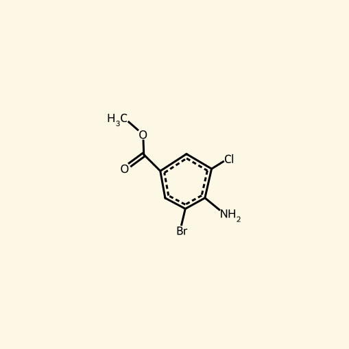 COC(=O)c1cc(Cl)c(N)c(Br)c1